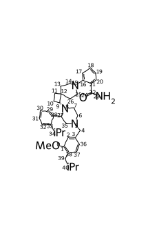 COc1cc(CN2CCN([C@@H]3CCC34CCN(c3ccccc3C(N)=O)CC4)C(c3ccccc3C(C)C)C2)ccc1CC(C)C